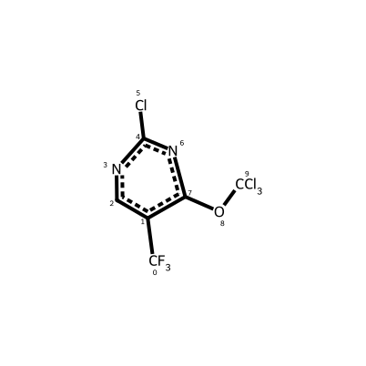 FC(F)(F)c1cnc(Cl)nc1OC(Cl)(Cl)Cl